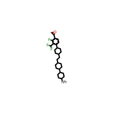 CCCC1CCC(C2CCC(CCC3CCC(c4ccc(C5CO5)c(F)c4C(F)F)CC3)CC2)CC1